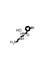 Cl.NCCNCCNC(=O)c1cccc(Br)c1